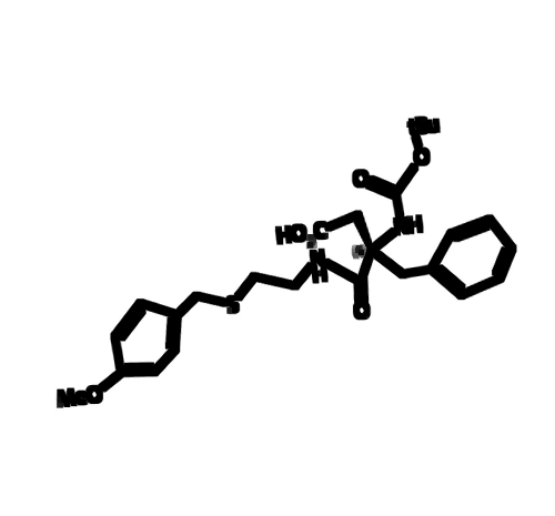 COc1ccc(CSCCNC(=O)[C@@](CC(=O)O)(Cc2ccccc2)NC(=O)OC(C)(C)C)cc1